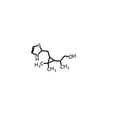 CC(CO)C1C(CC2NC=CS2)C1(C)C